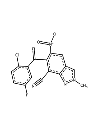 Cn1cc2cc([N+](=O)[O-])c(C(=O)c3cc(F)ccc3Cl)c(C#N)c2n1